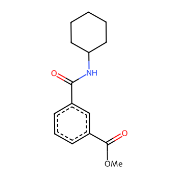 COC(=O)c1cccc(C(=O)NC2CCCCC2)c1